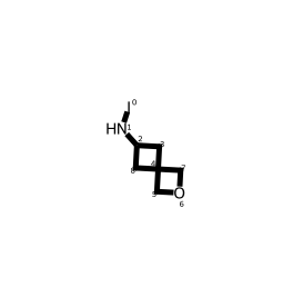 INC1CC2(COC2)C1